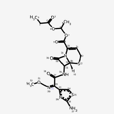 CCC(=O)OC(C)OC(=O)C1=CCS[C@@H]2C(NC(=O)/C(=N\OC)c3csc(N)n3)C(=O)N12